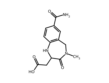 CN1Cc2cc(C(N)=O)ccc2NC(CC(=O)O)C1=O